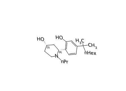 CCCCCCC(C)(C)c1ccc([C@H]2C[C@@H](O)CCN2CCC)c(O)c1